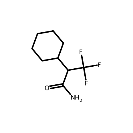 NC(=O)C(C1CCCCC1)C(F)(F)F